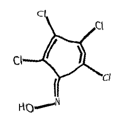 ON=C1C(Cl)=C(Cl)C(Cl)=C1Cl